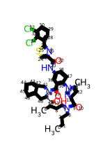 CCCCN(CCCC)C(=O)c1cc(C)n(-c2ccc(NC(=O)c3csc(-c4cccc(Cl)c4Cl)n3)cc2C(=O)N2Cc3ccccc3C[C@H]2CO)n1